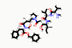 CC[C@H](C)[C@@H]([C@@H](CC(=O)N1CCC[C@H]1[C@H](OC)[C@@H](C)C(=O)N[C@H](C(=O)OCc1ccccc1)[C@@H](C)c1ccccc1)OC)N(C)C(=O)[C@@H](NC(=O)[C@@H](NC)C(C)C)C(C)C